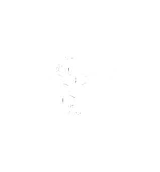 COc1cnc(/C(=C(\c2ccc(/C=C/C(=O)O)cc2)c2ccc3c(c2)C(F)NN3)C2CCC2)c(C(F)(F)F)n1